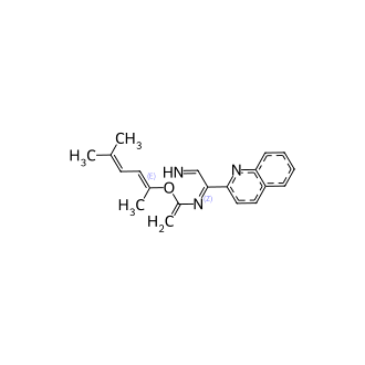 C=C(/N=C(\C=N)c1ccc2ccccc2n1)O/C(C)=C/C=C(C)C